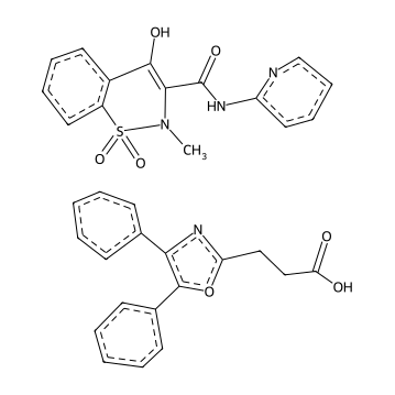 CN1C(C(=O)Nc2ccccn2)=C(O)c2ccccc2S1(=O)=O.O=C(O)CCc1nc(-c2ccccc2)c(-c2ccccc2)o1